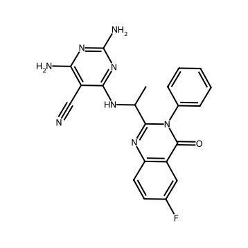 CC(Nc1nc(N)nc(N)c1C#N)c1nc2ccc(F)cc2c(=O)n1-c1ccccc1